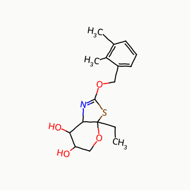 CCC12OCC(O)C(O)C1N=C(OCc1cccc(C)c1C)S2